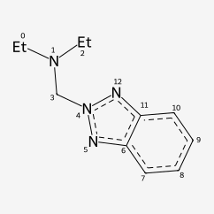 CCN(CC)Cn1nc2ccccc2n1